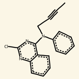 CC#CCN(c1ccccc1)c1nc(Cl)nc2ccccc12